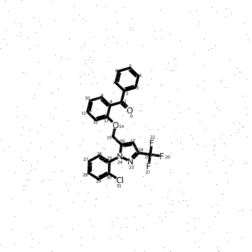 O=C(c1ccccc1)c1ccccc1OCc1cc(C(F)(F)F)nn1-c1ccccc1Cl